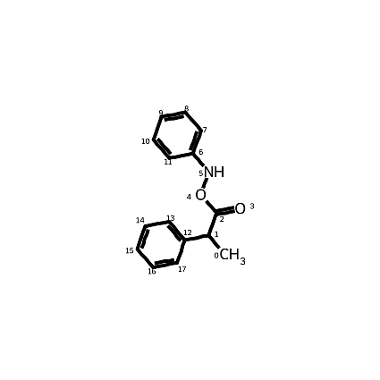 CC(C(=O)ONc1ccccc1)c1ccccc1